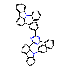 c1ccc(-c2nc(-c3cccc(-c4cccc5c6ccccc6n(-c6ccccc6)c45)c3)nc(-c3cccc4c5ccccc5n(-c5ccccc5)c34)n2)cc1